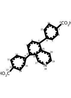 O=C(O)c1ccc(-c2ccc(-c3ccc(C(=O)O)cc3)c3cnccc23)cc1